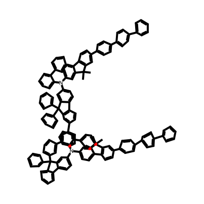 CC1(C)c2cc(-c3ccc(-c4ccc(-c5ccccc5)cc4)cc3)ccc2-c2ccc(N(c3ccc4c(c3)C(c3ccccc3)(c3cccc(-c5cccc(-c6ccc7c(c6)C(c6ccccc6)(c6ccccc6)c6cc(N(c8ccc9c(c8)C(C)(C)c8cc(-c%10ccc(-c%11ccc(-c%12ccccc%12)cc%11)cc%10)ccc8-9)c8ccccc8-c8ccccc8)ccc6-7)c5)c3)c3ccccc3-4)c3ccccc3-c3ccccc3)cc21